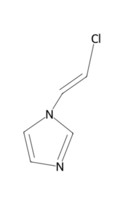 ClC=Cn1ccnc1